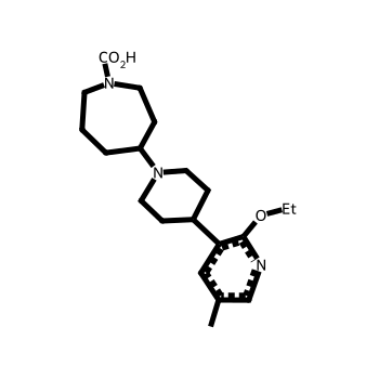 CCOc1ncc(C)cc1C1CCN(C2CCCN(C(=O)O)CC2)CC1